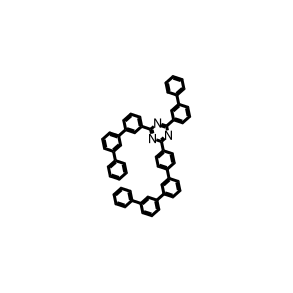 c1ccc(-c2cccc(-c3cccc(-c4ccc(-c5nc(-c6cccc(-c7ccccc7)c6)nc(-c6cccc(-c7cccc(-c8ccccc8)c7)c6)n5)cc4)c3)c2)cc1